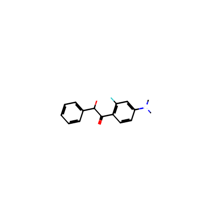 CN(C)c1ccc(C(=O)C(O)c2ccccc2)c(F)c1